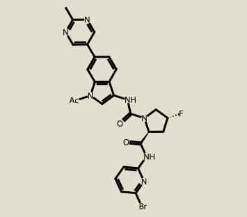 CC(=O)n1cc(NC(=O)N2C[C@H](F)C[C@H]2C(=O)Nc2cccc(Br)n2)c2ccc(-c3cnc(C)nc3)cc21